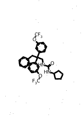 O=C(NCC(Cc1ccccc1)(c1cccc(OC(F)(F)F)c1)c1cccc(OC(F)(F)F)c1)NC1CCCC1